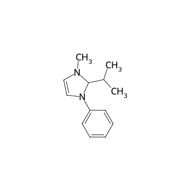 CC(C)C1N(C)C=CN1c1ccccc1